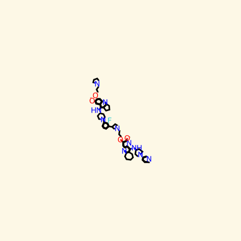 COc1cc2c(NC3CCN(c4cccc(C5CCN(CCCOc6cc7nc8c(c(NC9CCN(c%10cccnc%10)CC9)c7nc6OC)CCCCC8)C5)c4F)CC3)c3c(nc2cc1OCCCN1CCCC1)CCC3